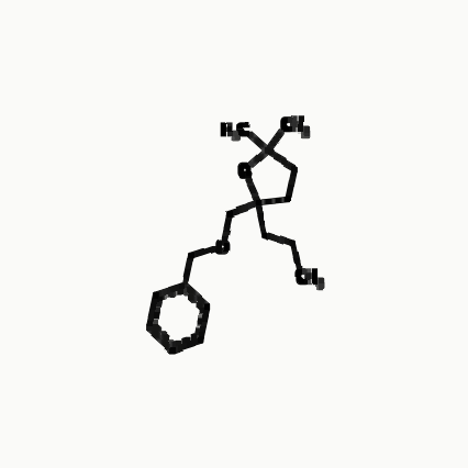 CCCC1(COCc2ccccc2)CCC(C)(C)O1